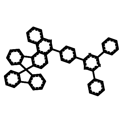 c1ccc(-c2nc(-c3ccccc3)nc(-c3ccc(-c4nc5ccccc5c5c6c(ccc45)C4(c5ccccc5-c5ccccc54)c4ccccc4-6)cc3)n2)cc1